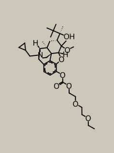 CCOCCOCCOC(=O)Oc1ccc2c3c1O[C@H]1C(C)(OC)[C@@H]([C@](C)(O)C(C)(C)C)C[C@]4(C)[C@@H](C2)N(CC2CC2)CC[C@]314